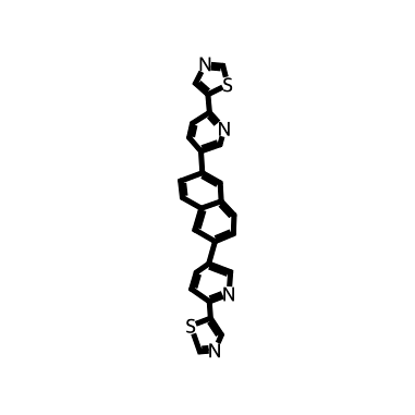 c1ncc(-c2ccc(-c3ccc4cc(-c5ccc(-c6cncs6)nc5)ccc4c3)cn2)s1